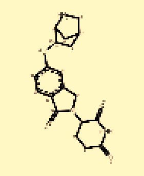 O=C1CCC(N2Cc3cc(O[C@@H]4CC5CNC4C5)ccc3C2=O)C(=O)N1